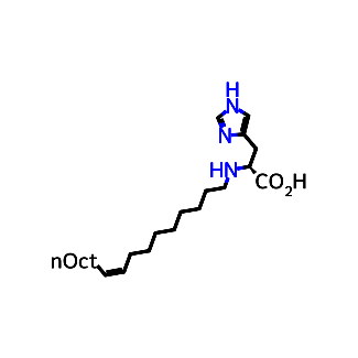 CCCCCCCC/C=C\CCCCCCCCN[C@@H](Cc1c[nH]cn1)C(=O)O